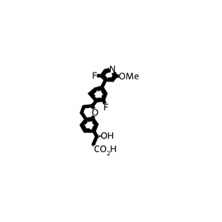 COc1cc(-c2ccc(C3CCc4ccc([C@H](O)CC(=O)O)cc4O3)c(F)c2)c(F)cn1